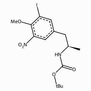 COc1c(I)cc(C[C@@H](C)NC(=O)OC(C)(C)C)cc1[N+](=O)[O-]